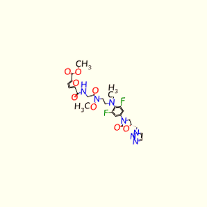 CCN(CCN(OC)C(=O)CNC(=O)c1ccc(C(=O)OC)o1)c1c(F)cc(N2C[C@H](Cn3ccnn3)OC2=O)cc1F